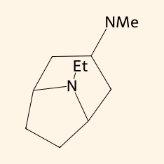 CCN1C2CCC1CC(NC)C2